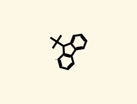 CC(C)(C)C1c2[c]cccc2-c2ccccc21